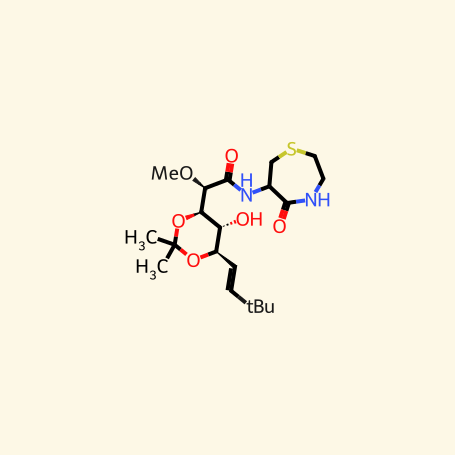 CO[C@@H](C(=O)NC1CSCCNC1=O)[C@@H]1OC(C)(C)O[C@H](C=CC(C)(C)C)[C@H]1O